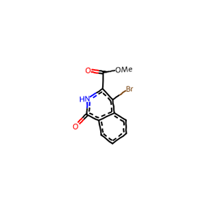 COC(=O)c1[nH]c(=O)c2ccccc2c1Br